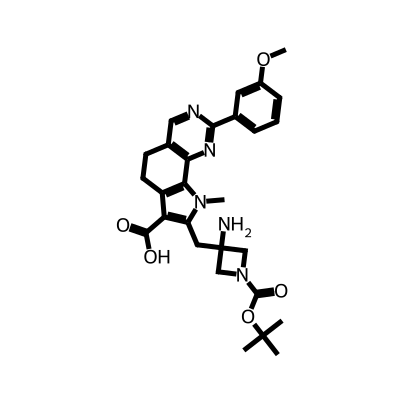 COc1cccc(-c2ncc3c(n2)-c2c(c(C(=O)O)c(CC4(N)CN(C(=O)OC(C)(C)C)C4)n2C)CC3)c1